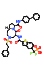 O=C(N[C@H]1CN(S(=O)(=O)CCc2ccccc2)CC[C@H]2CC[C@@H](C(=O)Nc3ccc(-c4ccccc4)cc3)N2C1=O)c1cc2cc(C(F)(F)P(=O)(O)O)ccc2s1